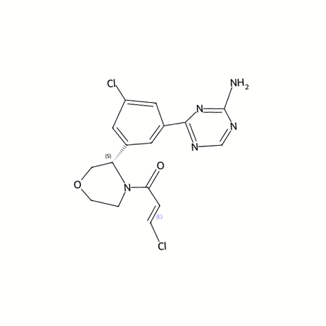 Nc1ncnc(-c2cc(Cl)cc([C@H]3COCCN3C(=O)/C=C/Cl)c2)n1